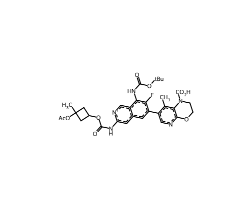 CC(=O)OC1(C)CC(OC(=O)Nc2cc3cc(-c4cnc5c(c4C)N(C(=O)O)CCO5)c(F)c(NC(=O)OC(C)(C)C)c3cn2)C1